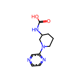 O=C(O)NC1CCCN(c2cnccn2)C1